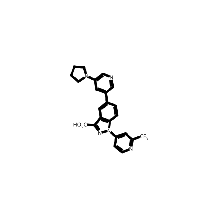 O=C(O)c1nn(-c2ccnc(C(F)(F)F)c2)c2ccc(-c3cncc(N4CCCC4)c3)cc12